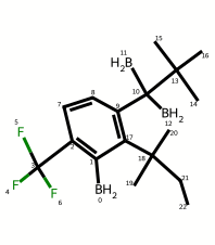 Bc1c(C(F)(F)F)ccc(C(B)(B)C(C)(C)C)c1C(C)(C)CC